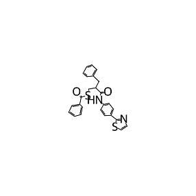 O=C(SCC(Cc1ccccc1)C(=O)Nc1ccc(-c2nccs2)cc1)c1ccccc1